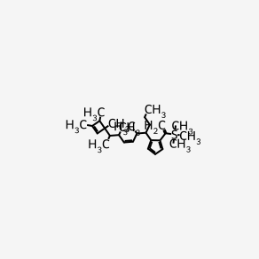 C=C(C1=CC=C=C1C(CCC)C(C)/C=C\C(C)C(C)C1(C)C=C(C)C1C)S(C)(C)C